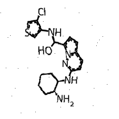 N[C@H]1CCCC[C@H]1Nc1ccc2ccc(C(O)Nc3cscc3Cl)n2n1